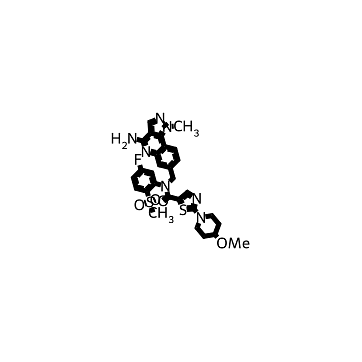 COC1CCN(c2ncc(C(=O)N(Cc3ccc4c(c3)nc(N)c3cnn(C)c34)c3cc(F)ccc3S(C)(=O)=O)s2)CC1